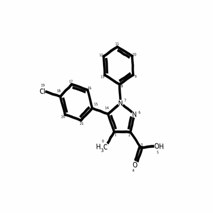 Cc1c(C(=O)O)nn(-c2ccccc2)c1-c1ccc(Cl)cc1